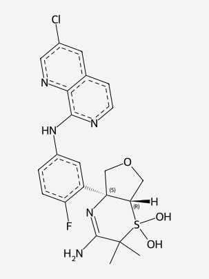 CC1(C)C(N)=N[C@@]2(c3cc(Nc4nccc5cc(Cl)cnc45)ccc3F)COC[C@@H]2S1(O)O